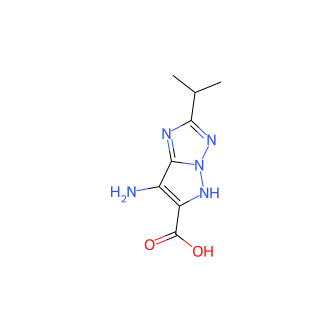 CC(C)c1nc2c(N)c(C(=O)O)[nH]n2n1